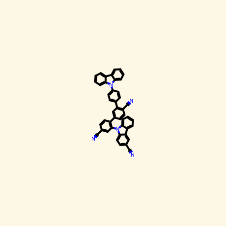 N#Cc1ccc(-c2ccc(C#N)c(-c3ccc(-n4c5ccccc5c5ccccc54)cc3)c2)c(-n2c3ccccc3c3cc(C#N)ccc32)c1